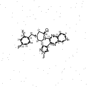 Cn1cc(-c2nc3cnccc3nc2N2CCN(Cc3ccc(F)cc3F)CC2=O)cn1